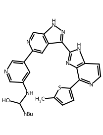 CCCCC(O)Nc1cncc(-c2cc3c(-c4nc5c(-c6ccc(C)s6)nccc5[nH]4)n[nH]c3cn2)c1